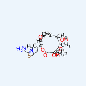 CC(=Cc1csc(CN)n1)[C@@H]1C[C@@H]2O[C@]2(C)CCC[C@H](C)C(O)C(C)C(=O)C(C)(C)[C@@H](O)CC(=O)O1